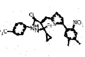 CCC1(C2CC2)NN(c2ccc(C(=O)O)cc2)C(=O)C1=Cc1ccc(-c2cc(C)c(C)cc2[N+](=O)[O-])s1